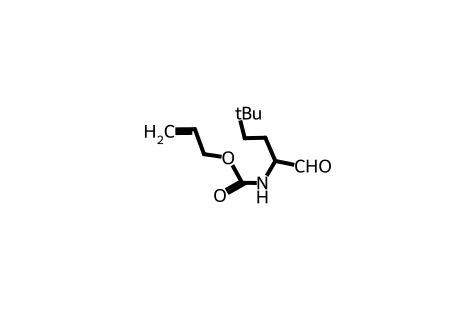 C=CCOC(=O)NC(C=O)CCC(C)(C)C